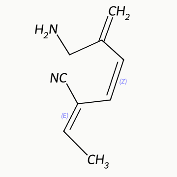 C=C(/C=C\C(C#N)=C/C)CN